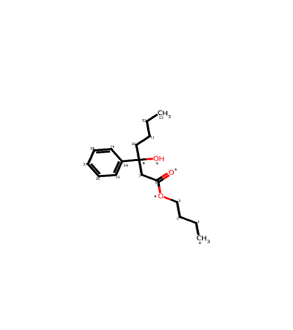 CCCCOC(=O)CC(O)(CCCC)c1ccccc1